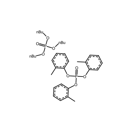 CCCCOP(=O)(OCCCC)OCCCC.Cc1ccccc1OP(=O)(Oc1ccccc1C)Oc1ccccc1C